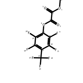 COC(=O)C(=O)Oc1c(F)c(F)c(C(F)(F)F)c(F)c1F